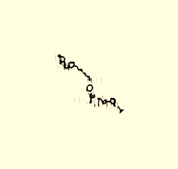 CN(CCCOCCCc1ccc2c(c1)n(C)c(=O)n2C1CCC(=O)NC1=O)C[C@H]1CC[C@H](n2cc(NC(=O)c3coc(-c4ccnc(NCC5CC5)c4)n3)c(C(C)(C)O)n2)CC1